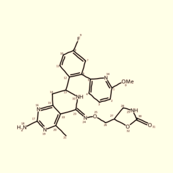 COc1cccc(-c2cc(F)ccc2C2Cc3nc(N)nc(C)c3C(=NOCC3CNC(=O)O3)N2)n1